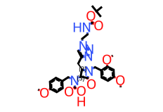 COc1ccc(CN(C(=O)O)[C@@H]2C(=O)N(Cc3ccc(OC)cc3OC)[C@@H]2Cc2cn(CCNC(=O)OC(C)(C)C)nn2)cc1